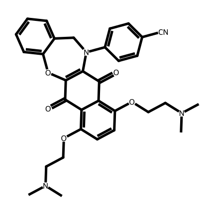 CN(C)CCOc1ccc(OCCN(C)C)c2c1C(=O)C1=C(C2=O)N(c2ccc(C#N)cc2)Cc2ccccc2O1